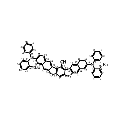 CC(C)(C)c1ccccc1N(c1ccccc1)c1ccc2cc3c(cc2c1)oc1cc2oc4cc5cc(N(c6ccccc6)c6ccccc6C(C)(C)C)ccc5cc4c2c(C#N)c13